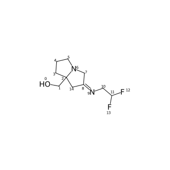 OCC12CCCN1C/C(=N\CC(F)F)C2